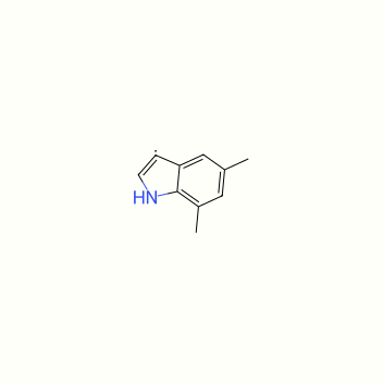 Cc1cc(C)c2[nH]c[c]c2c1